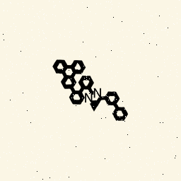 C1=CCC(c2cccc(-c3nc(-c4ccccc4C4=CC=CCC4c4ccc5c6ccccc6c6ccccc6c5c4)nc4c3C4)c2)C=C1